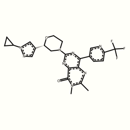 Cc1nc2c(-c3ccc(C(F)(F)F)nc3)nc(N3CCO[C@@H](c4cnn(C5CC5)c4)C3)nc2c(=O)n1C